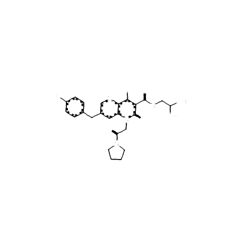 CC(O)CNC(=O)c1c(O)c2ncc(Cc3ccc(F)cc3)cc2n(CC(=O)N2CCCC2)c1=O